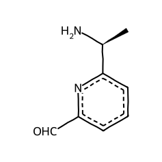 C[C@H](N)c1cccc(C=O)n1